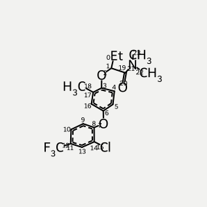 CCC(Oc1ccc(Oc2ccc(C(F)(F)F)cc2Cl)cc1C)C(=O)N(C)C